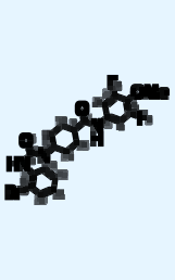 COc1c(F)cc(NC(=O)C2CCC(n3c(=O)[nH]c4c(Br)cccc43)CC2)cc1F